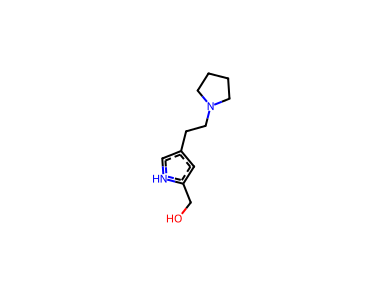 OCc1cc(CCN2CCCC2)c[nH]1